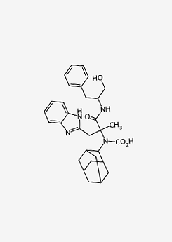 CC(Cc1nc2ccccc2[nH]1)(C(=O)NC(CO)Cc1ccccc1)N(C(=O)O)C1C2CC3CC(C2)CC1C3